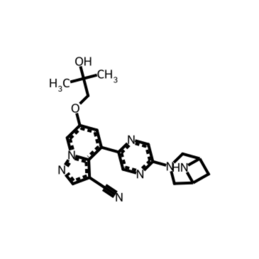 CC(C)(O)COc1cc(-c2cnc(N3CC4CC(C3)N4)cn2)c2c(C#N)cnn2c1